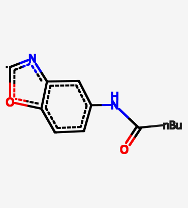 CCCCC(=O)Nc1ccc2o[c]nc2c1